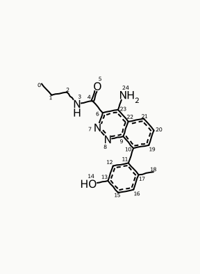 CCCNC(=O)c1nnc2c(-c3cc(O)ccc3C)cccc2c1N